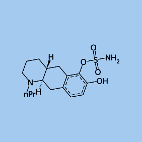 CCCN1CCC[C@@H]2Cc3c(ccc(O)c3OS(N)(=O)=O)C[C@H]21